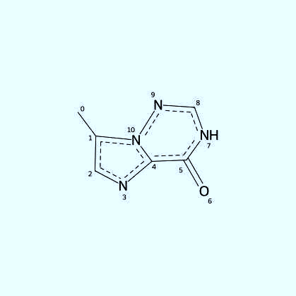 Cc1cnc2c(=O)[nH]cnn12